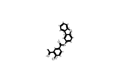 CC(=O)c1cc(C(=O)Sc2ccc3oc4ccccc4c3c2)ccc1Cl